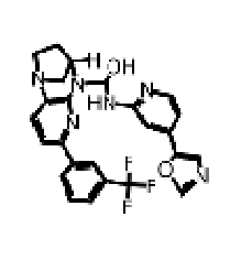 OC(Nc1cc(-c2cnco2)ccn1)N1c2nc(-c3cccc(C(F)(F)F)c3)ccc2N2CC[C@H]1C2